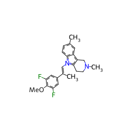 COc1c(F)cc(/C(C)=C/n2c3c(c4cc(C)ccc42)CN(C)CC3)cc1F